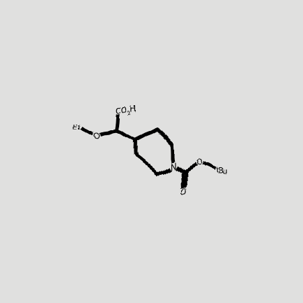 CCOC(C(=O)O)C1CCN(C(=O)OC(C)(C)C)CC1